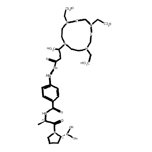 C[C@@H](NC(=O)c1ccc(NNC(=O)CC(C(=O)O)N2CCN(CC(=O)O)CCN(CC(=O)O)CCN(CC(=O)O)CC2)cc1)C(=O)N1CCC[C@H]1B(O)O